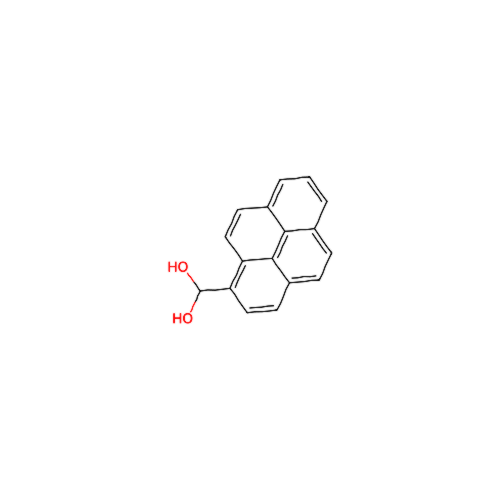 OC(O)c1ccc2ccc3cccc4ccc1c2c34